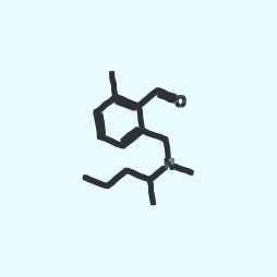 CCCC(C)N(C)Cc1cccc(C)c1C=O